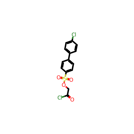 O=C(Cl)COS(=O)(=O)c1ccc(-c2ccc(Cl)cc2)cc1